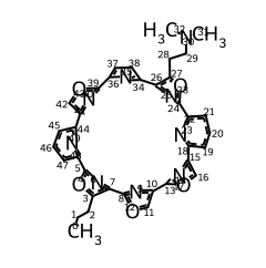 CCCc1oc2nc1-c1nc(co1)-c1nc(co1)-c1cccc(n1)-c1nc(c(CCN(C)C)o1)C1=NC(=CC1)c1nc(co1)-c1cccc-2n1